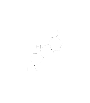 FC1(F)CCC(Nc2nccc(Cl)n2)CC1